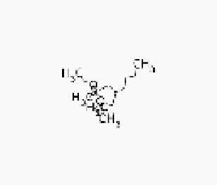 CCCCC(CC)C[Si](C)(OCC)OCC